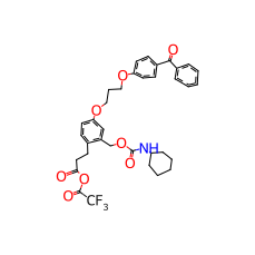 O=C(CCc1ccc(OCCCOc2ccc(C(=O)c3ccccc3)cc2)cc1COC(=O)NC1CCCCC1)OC(=O)C(F)(F)F